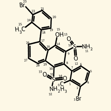 Cc1c(Br)cccc1-c1c(S(N)(=O)=O)c(O)c2c(-c3cccc(Br)c3C)cccc2c1S(N)(=O)=O